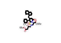 COC(=O)C1CN(CCCC(=O)OC(C)(C)C)S(=O)(=O)c2c(-c3cccc(C(F)(F)F)c3)c(Cc3cccc4ccccc34)cc(=O)n21